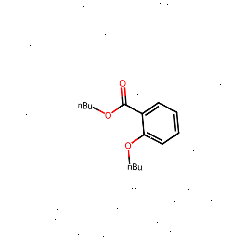 CCCCOC(=O)c1ccccc1OCCCC